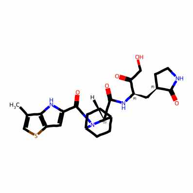 Cc1csc2cc(C(=O)N3C4CCC(CC4)[C@H]3C(=O)N[C@H](C[C@H]3CCNC3=O)C(=O)CO)[nH]c12